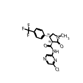 CN1C[C@@H](c2ccc(C(F)(F)F)cc2)[C@H](C(=O)Nc2cncc(Cl)n2)C1=O